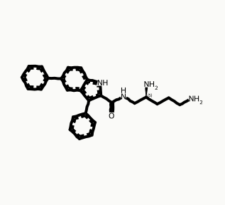 NCCC[C@H](N)CNC(=O)c1[nH]c2ccc(-c3ccccc3)cc2c1-c1ccccc1